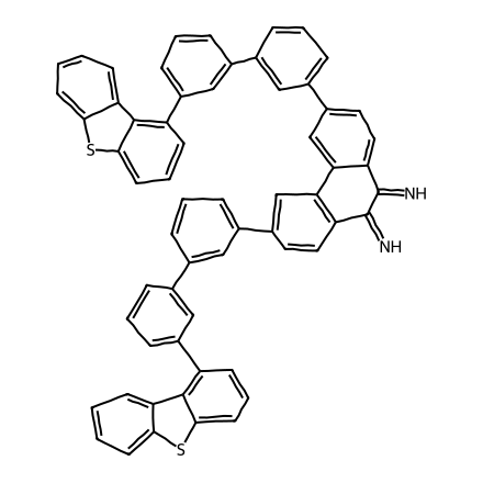 N=C1C(=N)c2ccc(-c3cccc(-c4cccc(-c5cccc6sc7ccccc7c56)c4)c3)cc2-c2cc(-c3cccc(-c4cccc(-c5cccc6sc7ccccc7c56)c4)c3)ccc21